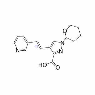 O=C(O)c1nn(C2CCCCO2)cc1/C=C/c1cccnc1